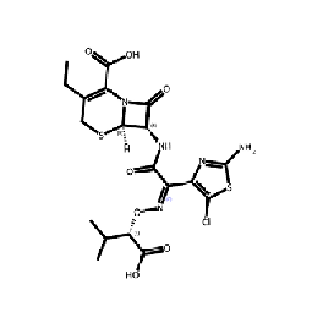 CCC1=C(C(=O)O)N2C(=O)[C@@H](NC(=O)/C(=N\O[C@H](C(=O)O)C(C)C)c3nc(N)sc3Cl)[C@H]2SC1